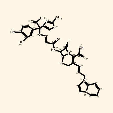 Nc1nc(C(ON=CC(=O)NC2C(=O)N3C(C(=O)O)=C(C=CC[n+]4ccn5ccccc54)CSC23)(C(=O)O)c2ccc(O)c(O)c2)cs1